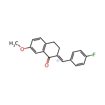 COc1ccc2c(c1)C(=O)/C(=C/c1ccc(F)cc1)CC2